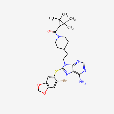 CC1(C)C(C(=O)N2CCC(CCn3c(Sc4cc5c(cc4Br)OCO5)nc4c(N)ncnc43)CC2)C1(C)C